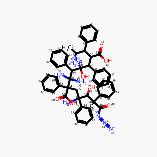 CC(N)C(c1ccccc1)C(C(=O)O)C(c1ccccc1)C(N)(O)C(c1ccccc1)C(N)(N)C(CC(N)(c1ccccc1)C(O)C(C)(C(=O)N=[N+]=[N-])c1ccccc1)(C(=O)O)c1ccccc1